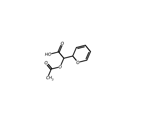 CC(=O)OC(C(=O)O)C1C=CC=CO1